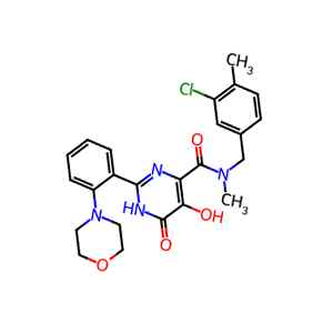 Cc1ccc(CN(C)C(=O)c2nc(-c3ccccc3N3CCOCC3)[nH]c(=O)c2O)cc1Cl